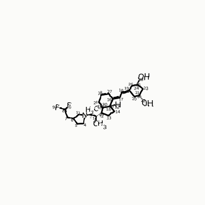 CC(CN1CCC(CC(F)F)C1)[C@H]1CC[C@H]2C(=CC=C3C[C@@H](O)C[C@H](O)C3)CCC[C@]12C